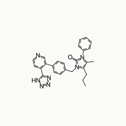 CCCc1c(C)n(-c2ccccc2)c(=O)n1Cc1ccc(-c2cnccc2-c2nnn[nH]2)cc1